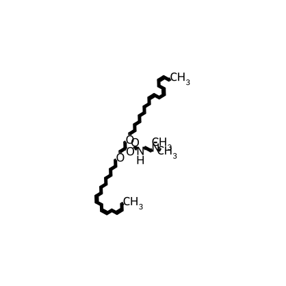 CC/C=C\C/C=C\C/C=C\CCCCCCCCOCC(COCCCCCCCC/C=C\C/C=C\C/C=C\CC)OC(=O)NCCN(C)C